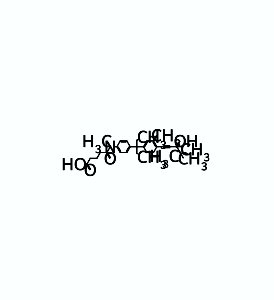 CCC(CC)(c1ccc(N(C)C(=O)CCCC(=O)O)cc1)c1ccc(C#CC(O)C(C)(C)C)c(C)c1